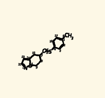 Cc1ccc(SOC2CCn3nccc3C2)cc1